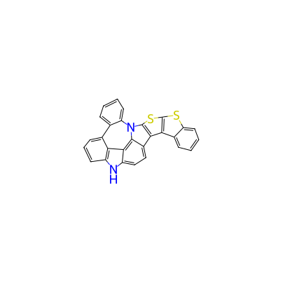 c1ccc2c(c1)sc1sc3c(c4ccc5[nH]c6cccc7c8ccccc8n3c4c5c67)c12